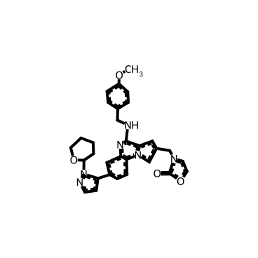 COc1ccc(CNc2nc3cc(-c4ccnn4C4CCCCO4)ccc3n3cc(Cn4ccoc4=O)cc23)cc1